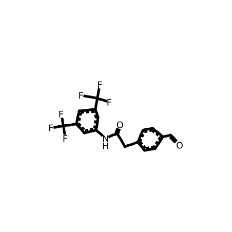 O=Cc1ccc(CC(=O)Nc2cc(C(F)(F)F)cc(C(F)(F)F)c2)cc1